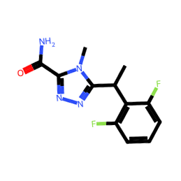 CC(c1c(F)cccc1F)c1nnc(C(N)=O)n1C